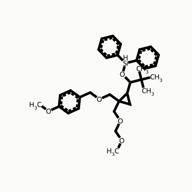 COCOCC1(COCc2ccc(OC)cc2)CC1C(O[SiH](c1ccccc1)c1ccccc1)C(C)(C)C